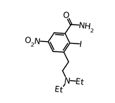 CCN(CC)CCc1cc([N+](=O)[O-])cc(C(N)=O)c1I